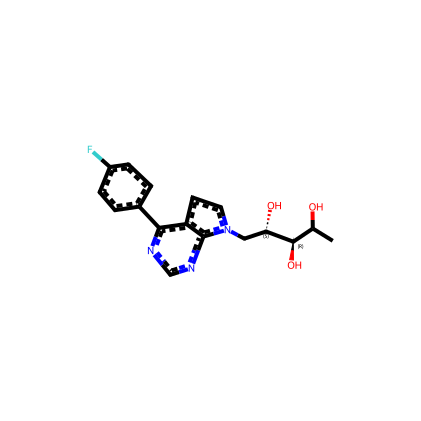 CC(O)[C@@H](O)[C@@H](O)Cn1ccc2c(-c3ccc(F)cc3)ncnc21